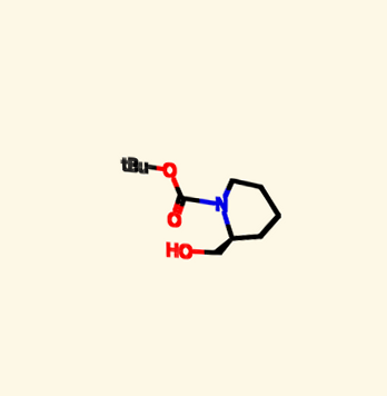 CC(C)(C)OC(=O)N1CCCC[C@H]1CO